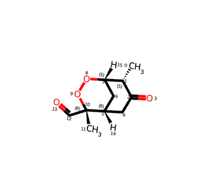 C[C@@H]1C(=O)C[C@H]2C[C@@H]1OO[C@@]2(C)C=O